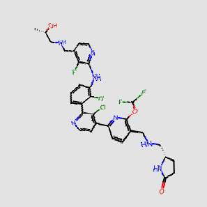 C[C@H](O)CNCc1ccnc(Nc2cccc(-c3nccc(-c4ccc(CNC[C@@H]5CCC(=O)N5)c(OC(F)F)n4)c3Cl)c2Cl)c1F